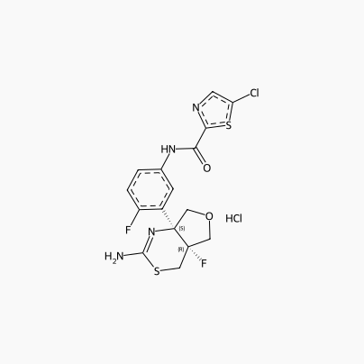 Cl.NC1=N[C@@]2(c3cc(NC(=O)c4ncc(Cl)s4)ccc3F)COC[C@@]2(F)CS1